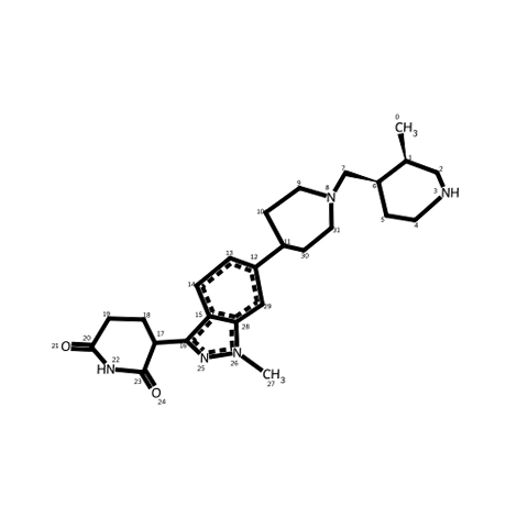 C[C@H]1CNCC[C@H]1CN1CCC(c2ccc3c(C4CCC(=O)NC4=O)nn(C)c3c2)CC1